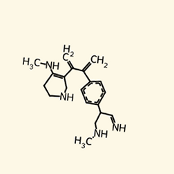 C=C(C(=C)c1ccc(C(C=N)CNC)cc1)C1=C(NC)CCNC1